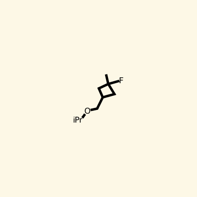 CC(C)OCC1CC(C)(F)C1